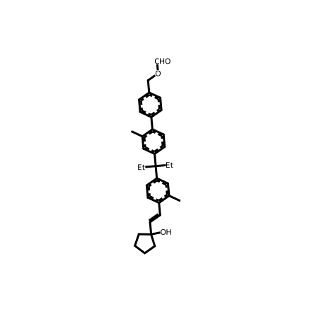 CCC(CC)(c1ccc(/C=C/C2(O)CCCC2)c(C)c1)c1ccc(-c2ccc(COC=O)cc2)c(C)c1